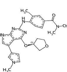 Cc1cc(C(=O)N(C)C)ccc1Nc1nc(O[C@H]2CCOC2)c2c(-c3ccn(C)c3)c[nH]c2n1